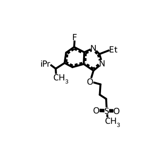 CCc1nc(OCCCS(C)(=O)=O)c2cc(C(C)C(C)C)cc(F)c2n1